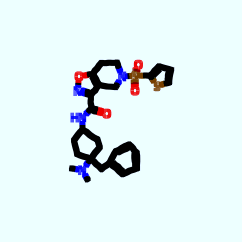 CN(C)C1(Cc2ccccc2)CCC(NC(=O)c2noc3c2CN(S(=O)(=O)c2cccs2)CC3)CC1